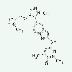 Cc1cc(Nc2cc3cc(-c4c(OC[C@H]5CCN5C)cnn4C)ccn3n2)nn(C)c1=O